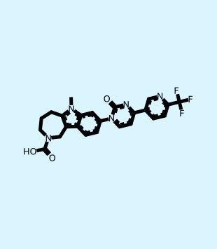 Cn1c2c(c3ccc(-n4ccc(-c5ccc(C(F)(F)F)nc5)nc4=O)cc31)CN(C(=O)O)CCC2